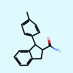 Cc1ccc(C2c3ccccc3CC2C(N)=O)cc1